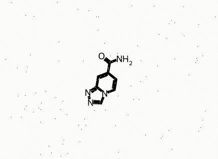 NC(=O)c1ccn2cnnc2c1